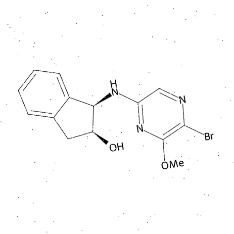 COc1nc(N[C@@H]2c3ccccc3C[C@@H]2O)cnc1Br